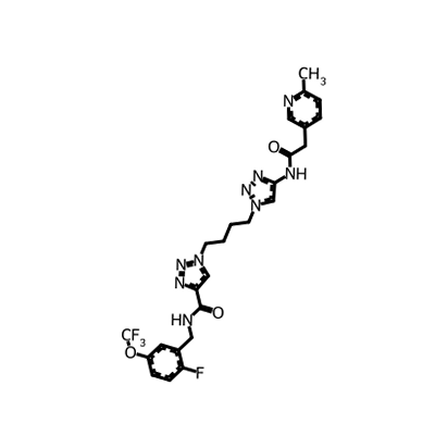 Cc1ccc(CC(=O)Nc2cn(CCCCn3cc(C(=O)NCc4cc(OC(F)(F)F)ccc4F)nn3)nn2)cn1